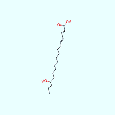 CCCC(O)CCCCCCCCCC=CC=CC(=O)O